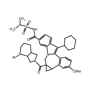 COc1ccc2c(c1)C1CC1(C(=O)N1CC3CCCN(C(C)C)C3C1)Cn1c-2c(C2CCCCC2)c2ccc(C(=O)NS(=O)(=O)N(C)C)cc21